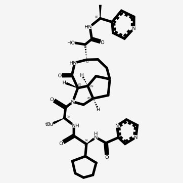 C[C@H](NC(=O)C(O)[C@@H]1CCC2C[C@H]3CN(C(=O)[C@@H](NC(=O)[C@@H](NC(=O)c4cnccn4)C4CCCCC4)C(C)(C)C)[C@H](C(=O)N1)[C@H]3C2)c1ccncc1